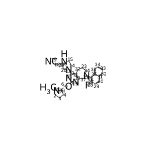 CN1CCC[C@H]1COc1nc2c(c(N3CCN[C@@H](CC#N)C3)n1)CCCN(c1c(F)ccc3ccccc13)C2